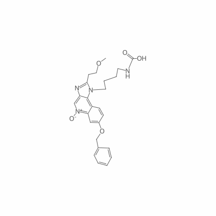 COCCc1nc2c[n+]([O-])c3cc(OCc4ccccc4)ccc3c2n1CCCCNC(=O)O